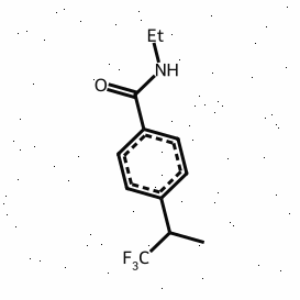 CCNC(=O)c1ccc(C(C)C(F)(F)F)cc1